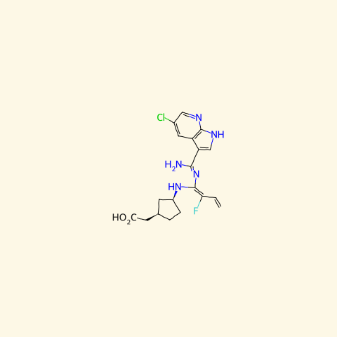 C=C/C(F)=C(\N=C(/N)c1c[nH]c2ncc(Cl)cc12)N[C@H]1CC[C@@H](CC(=O)O)C1